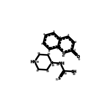 O=c1ccc2ccccc2o1.S=C(S)NN1CCNCC1